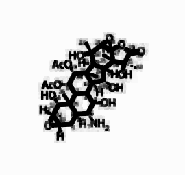 CC(=O)O[C@H]1C2C([C@@H](O)[C@H](N)[C@H]3C[C@@H]4O[C@@H]4[C@H](O)[C@]23C)[C@@H]2[C@@H](O)[C@@H]3[C@H]([C@](C)(O)[C@H]4O[C@]45OC(=O)[C@@](C)(O)[C@]35C)[C@@]2(C)[C@H]1OC(C)=O